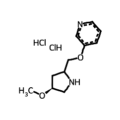 CO[C@@H]1CNC(COc2cccnc2)C1.Cl.Cl